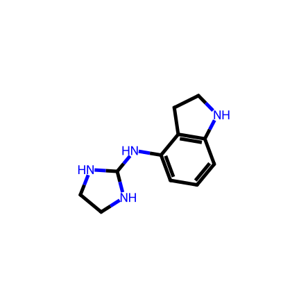 c1cc2c(c(NC3NCCN3)c1)CCN2